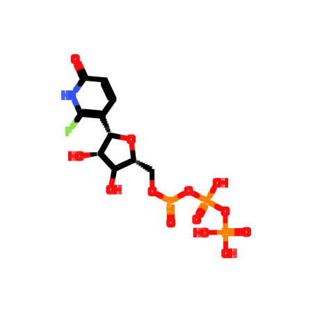 O=c1ccc([C@@H]2O[C@H](CO[PH](=O)OP(=O)(O)OP(=O)(O)O)C(O)[C@@H]2O)c(F)[nH]1